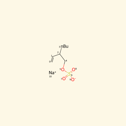 C=CC(CCCC)COS(=O)(=O)[O-].[Na+]